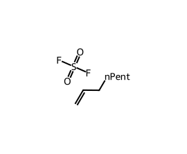 C=CCCCCCC.O=S(=O)(F)F